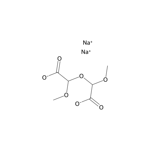 COC(OC(OC)C(=O)[O-])C(=O)[O-].[Na+].[Na+]